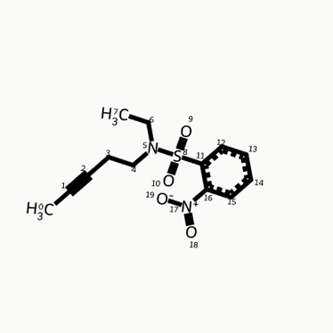 CC#CCCN(CC)S(=O)(=O)c1ccccc1[N+](=O)[O-]